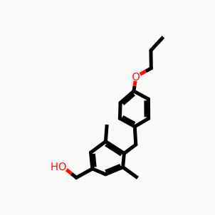 CCCOc1ccc(Cc2c(C)cc(CO)cc2C)cc1